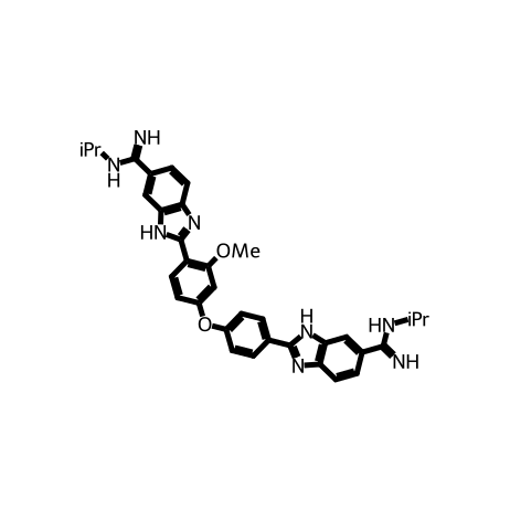 COc1cc(Oc2ccc(-c3nc4ccc(C(=N)NC(C)C)cc4[nH]3)cc2)ccc1-c1nc2ccc(C(=N)NC(C)C)cc2[nH]1